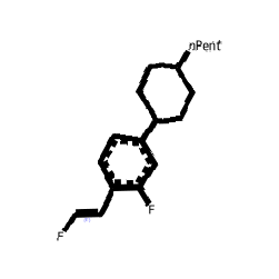 CCCCCC1CCC(c2ccc(/C=C/F)c(F)c2)CC1